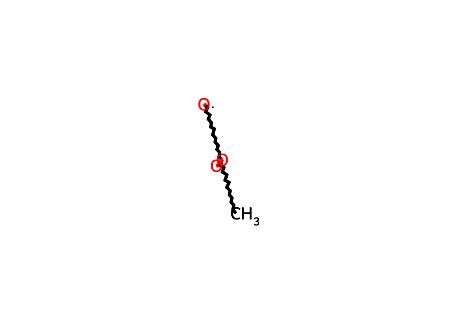 CCCCCCCCCCCCCC(=O)OCCCCCCCCCCCCC[C]=O